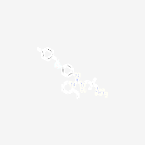 CCC1CCCCN1/C(=N\c1ccc(OCc2ccc(C)cc2)cc1)NCC(C)(C)CN